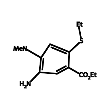 CCOC(=O)c1cc(N)c(NC)cc1SCC